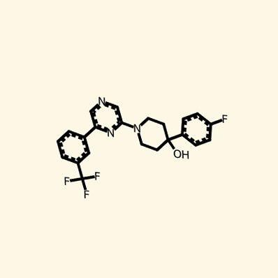 OC1(c2ccc(F)cc2)CCN(c2cncc(-c3cccc(C(F)(F)F)c3)n2)CC1